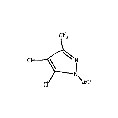 CC(C)(C)n1nc(C(F)(F)F)c(Cl)c1Cl